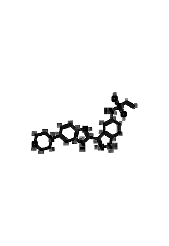 C=CS(=O)(=O)Nc1ccc2[nH]nc(-c3nc4ccc(N5CCOCC5)cc4[nH]3)c2c1